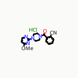 COc1ccnc(N2CCN(C(=O)c3ccccc3C#N)CC2)n1.Cl